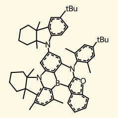 Cc1cc(C)c2c3c1B1c4c(cc(N5c6ccc(C(C)(C)C)cc6C6(C)CCCCC56C)cc4N3C3(C)CCCCC23C)N(c2c(C)cc(C(C)(C)C)cc2C)c2oc3ccccc3c21